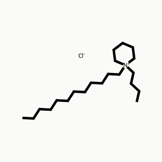 CCCCCCCCCCCC[N+]1(CCCC)CCCCC1.[Cl-]